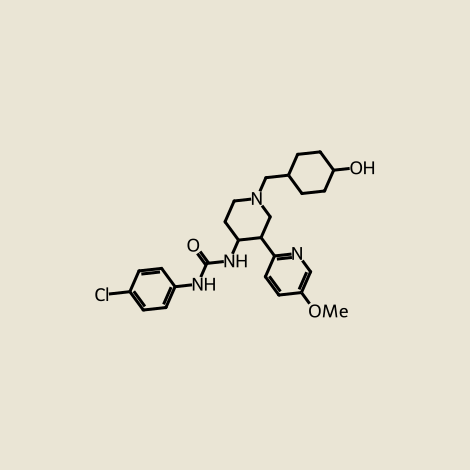 COc1ccc(C2CN(CC3CCC(O)CC3)CCC2NC(=O)Nc2ccc(Cl)cc2)nc1